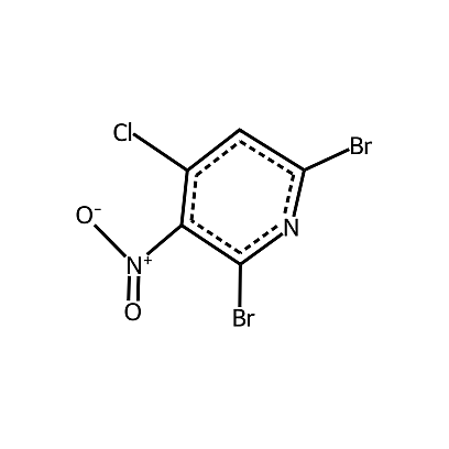 O=[N+]([O-])c1c(Cl)cc(Br)nc1Br